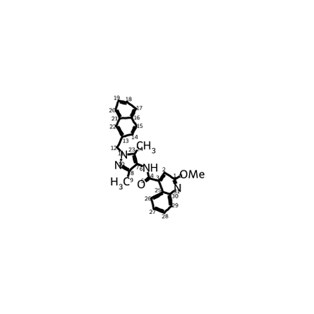 COc1cc(C(=O)Nc2c(C)nn(Cc3ccc4ccccc4c3)c2C)c2ccccc2n1